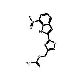 CC(=O)OCc1noc(-c2cc3cccc([N+](=O)[O-])c3[nH]2)n1